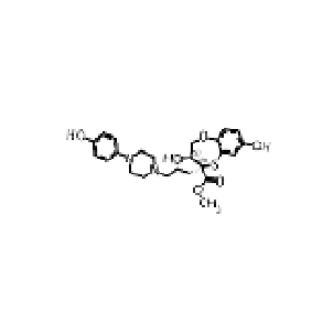 COC(=O)[C@]1(CCCN2CCN(c3ccc(O)cc3)CC2)Sc2cc(O)ccc2OC[C@@H]1O